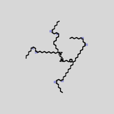 CCCCC/C=C\C/C=C\CCCCCCCCC(CCCCCCCC/C=C\C/C=C\CCCCC)OCCCN(C)CCN(C)C(CCCCCCCC/C=C\C/C=C\CCCCC)CCCCCCCC/C=C\C/C=C\CCCCC